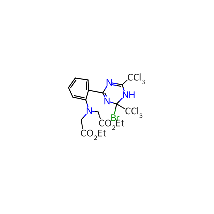 CCOC(=O)CN(CC(=O)OCC)c1ccccc1C1=NC(Br)(C(Cl)(Cl)Cl)NC(C(Cl)(Cl)Cl)=N1